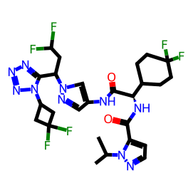 CC(C)n1nccc1C(=O)N[C@H](C(=O)Nc1cnn(C(CC(F)F)c2nnnn2C2CC(F)(F)C2)c1)C1CCC(F)(F)CC1